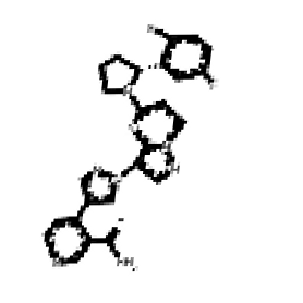 NC(=O)c1cnccc1-c1cnn(-c2cnn3ccc(N4CCC[C@@H]4c4cc(F)ccc4F)nc23)c1